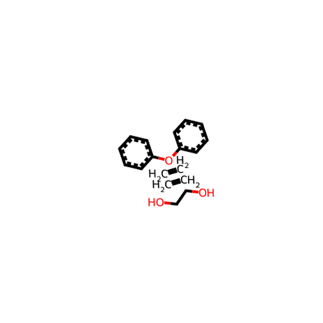 C=C.C=C.OCCO.c1ccc(Oc2ccccc2)cc1